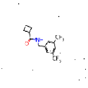 O=C(NCc1cc(C(F)(F)F)cc(C(F)(F)F)c1)C1CCC1